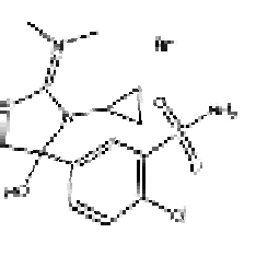 C[N+](C)=C1SCC(O)(c2ccc(Cl)c(S(N)(=O)=O)c2)N1C1CC1.[Br-]